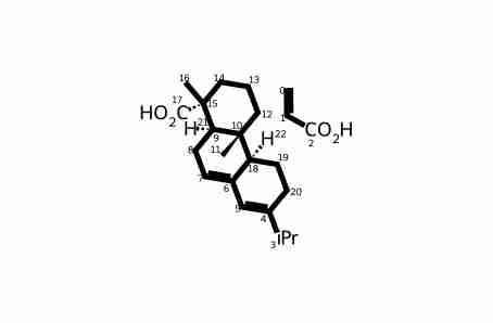 C=CC(=O)O.CC(C)C1=CC2=CC[C@@H]3[C@](C)(CCC[C@@]3(C)C(=O)O)[C@H]2CC1